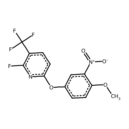 COc1ccc(Oc2ccc(C(F)(F)F)c(F)n2)cc1[N+](=O)[O-]